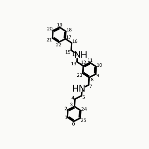 c1ccc(CCNCc2cccc(CNCCc3ccccc3)c2)cc1